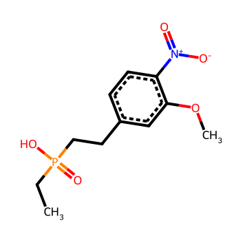 CCP(=O)(O)CCc1ccc([N+](=O)[O-])c(OC)c1